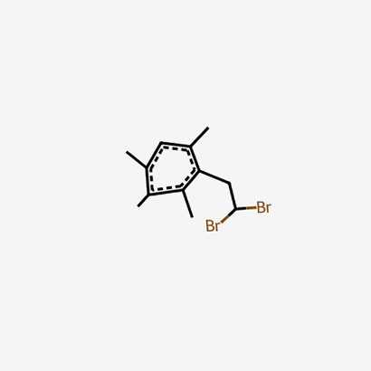 Cc1cc(C)c(CC(Br)Br)c(C)c1C